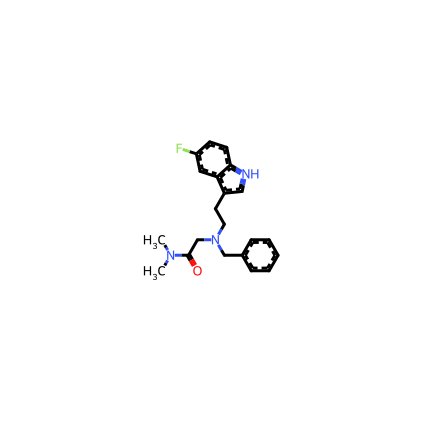 CN(C)C(=O)CN(CCc1c[nH]c2ccc(F)cc12)Cc1ccccc1